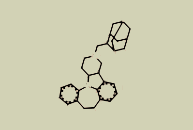 Cl.c1ccc2c(c1)CCc1cccc3c1N2C1CCN(CC2C4CC5CC(C4)CC2C5)CC31